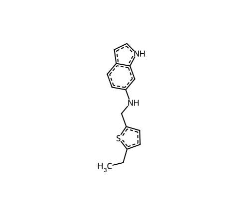 CCc1ccc(CNc2ccc3cc[nH]c3c2)s1